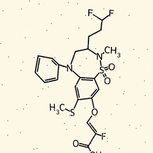 CSc1cc2c(cc1O/C=C(\F)C(=O)O)S(=O)(=O)N(C)C(CCC(F)F)CN2c1ccccc1